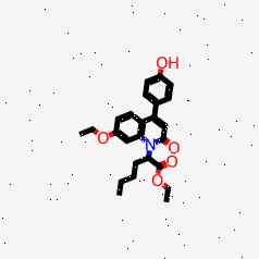 CCCCC(C(=O)OCC)n1c(=O)cc(-c2ccc(O)cc2)c2ccc(OCC)cc21